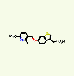 COc1ccc(COc2ccc3c(CC(=O)O)csc3c2)c(C)n1